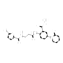 COC(=O)c1cc(-n2ccccc2=O)ccc1NC(=O)CCNC(=O)c1ccc(Cl)s1